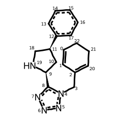 C1=CC(Cn2nnnc2[C@@H]2C[C@H](c3ccccc3)CN2)=CCC1